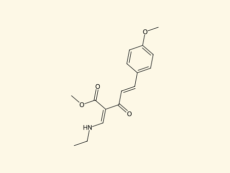 CCN/C=C(/C(=O)/C=C/c1ccc(OC)cc1)C(=O)OC